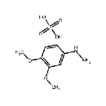 COc1ccc(NN)cc1OC.O=S(=O)(O)O